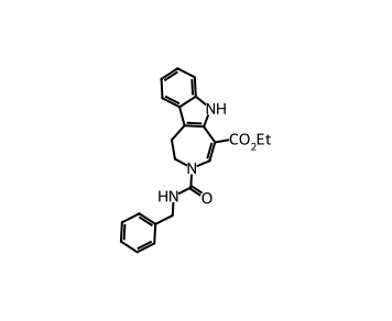 CCOC(=O)C1=CN(C(=O)NCc2ccccc2)CCc2c1[nH]c1ccccc21